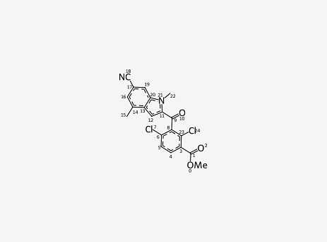 COC(=O)c1ccc(Cl)c(C(=O)c2cc3c(C)cc(C#N)cc3n2C)c1Cl